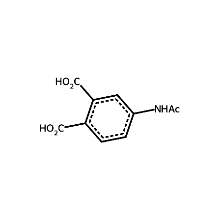 CC(=O)Nc1ccc(C(=O)O)c(C(=O)O)c1